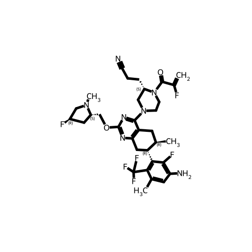 C=C(F)C(=O)N1CCN(c2nc(OC[C@@H]3C[C@@H](F)CN3C)nc3c2C[C@@H](C)[C@H](c2c(F)c(N)cc(C)c2C(F)(F)F)C3)C[C@@H]1CCC#N